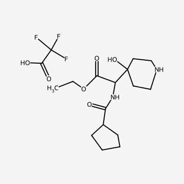 CCOC(=O)C(NC(=O)C1CCCC1)C1(O)CCNCC1.O=C(O)C(F)(F)F